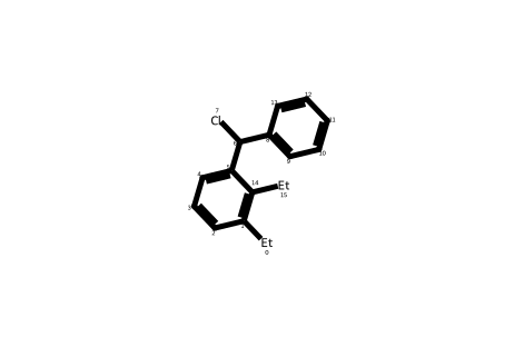 CCc1cccc(C(Cl)c2ccccc2)c1CC